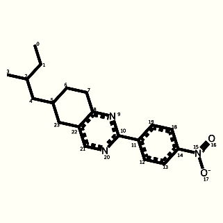 CCC(C)CC1CCc2nc(-c3ccc([N+](=O)[O-])cc3)ncc2C1